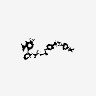 COc1ccc(N2CCCS/C2=N\C(=O)NCC(C)Cc2ccc(-c3ncn(-c4ccc(OC(F)(F)F)cc4)n3)cc2)c(C(C)C)c1